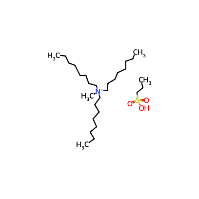 CCCCCCCC[N+](C)(CCCCCCCC)CCCCCCCC.CCCS(=O)(=O)O